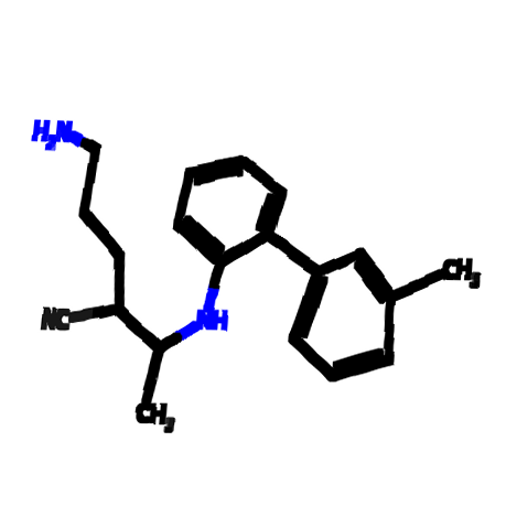 Cc1cccc(-c2ccccc2NC(C)C(C#N)CCCN)c1